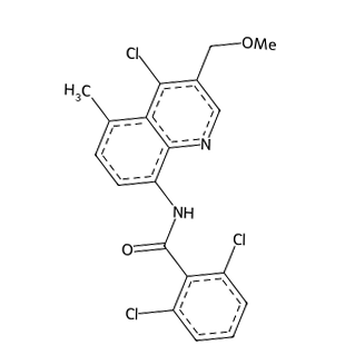 COCc1cnc2c(NC(=O)c3c(Cl)cccc3Cl)ccc(C)c2c1Cl